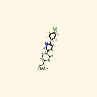 COCCC1CCC(c2ccc(-c3ccc(Cl)cc3)nc2)CC1